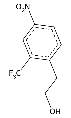 O=[N+]([O-])c1ccc(CCO)c(C(F)(F)F)c1